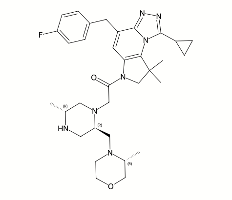 C[C@@H]1CN(CC(=O)N2CC(C)(C)c3c2cc(Cc2ccc(F)cc2)c2nnc(C4CC4)n32)[C@@H](CN2CCOC[C@H]2C)CN1